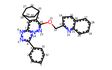 c1ccc(-c2nnc3c4c(c(OCc5ccc6ccccc6n5)nn23)C2CCC4CC2)cc1